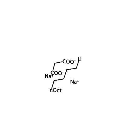 O=C([O-])CC(=O)[O-].[Li][CH2]CCCCCCCCCCC.[Na+].[Na+]